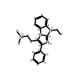 CCn1c2ccccc2n2c(CCN(C)C)c(-c3ccccc3)nc12